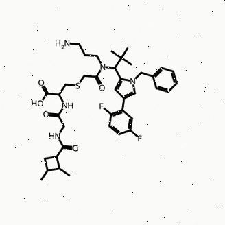 CC1CC(C(=O)NCC(=O)NC(CSCC(=O)N(CCCN)C(c2cc(-c3cc(F)ccc3F)cn2Cc2ccccc2)C(C)(C)C)C(=O)O)C1C